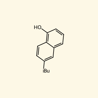 CCC(C)c1ccc2c(O)cccc2c1